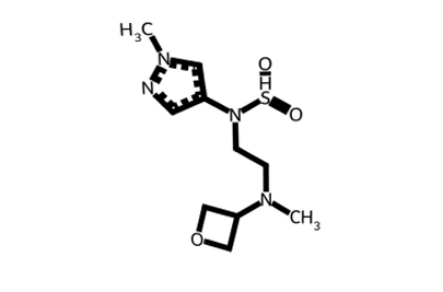 CN(CCN(c1cnn(C)c1)[SH](=O)=O)C1COC1